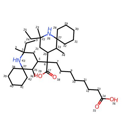 CCC1(C)CC(C(CCCCCCCC(=O)O)(C(=O)O)C2CC(C)(CC)NC3(CCCCC3)C2C)C(C)C2(CCCCC2)N1